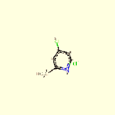 Cl.O=C(O)c1cc(Cl)ccn1